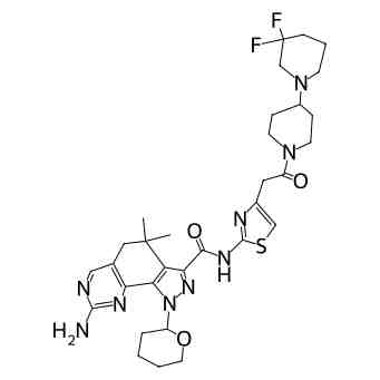 CC1(C)Cc2cnc(N)nc2-c2c1c(C(=O)Nc1nc(CC(=O)N3CCC(N4CCCC(F)(F)C4)CC3)cs1)nn2C1CCCCO1